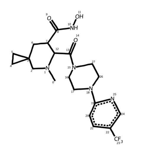 CN1CC2(CC2)CC(C(=O)NO)C1C(=O)N1CCN(c2ccc(C(F)(F)F)cn2)CC1